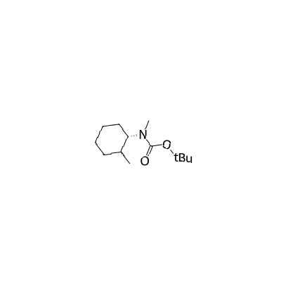 CC1CCCC[C@@H]1N(C)C(=O)OC(C)(C)C